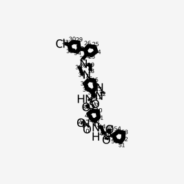 O=[N+]([O-])c1cc(S(=O)(=O)Nc2ncnc3cc(N4CCN(Cc5ccccc5-c5ccc(Cl)cc5)CC4)ccc23)ccc1NCCS(=O)(=O)c1ccccc1